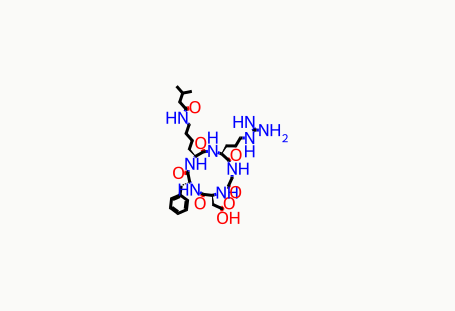 CC(C)CC(=O)NCCCC[C@@H]1NC(=O)[C@@H](Cc2ccccc2)NC(=O)[C@H](CC(=O)O)NC(=O)CNC(=O)[C@H](CCCNC(=N)N)NC1=O